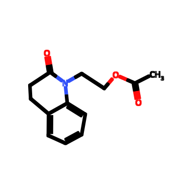 CC(=O)OCCN1C(=O)CCc2ccccc21